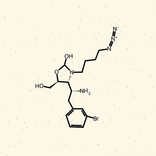 [N-]=[N+]=NCCCCN1C(O)O[C@H](CO)[C@H]1[C@H](N)Cc1cccc(Br)c1